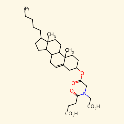 CC(C)CCCCC1CCC2C3CC=C4CC(OC(=O)CN(CC(=O)O)C(=O)CCC(=O)O)CCC4(C)C3CCC12C